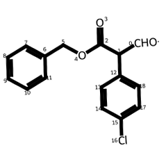 O=[C]C(C(=O)OCc1ccccc1)c1ccc(Cl)cc1